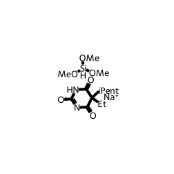 CCCC(C)C1(CC)C(=O)N=C([O-])NC1=O.CO[SiH](OC)OC.[Na+]